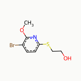 COc1nc(SCCO)ccc1Br